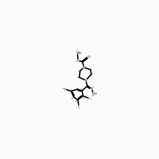 CC(C)(C)OC(=O)N1CCN(C(=NO)c2cc(F)cc(F)c2F)CC1